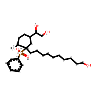 CC1CCC(C(O)CO)CC1(CCCCCCCCCCO)S(=O)(=O)c1ccccc1